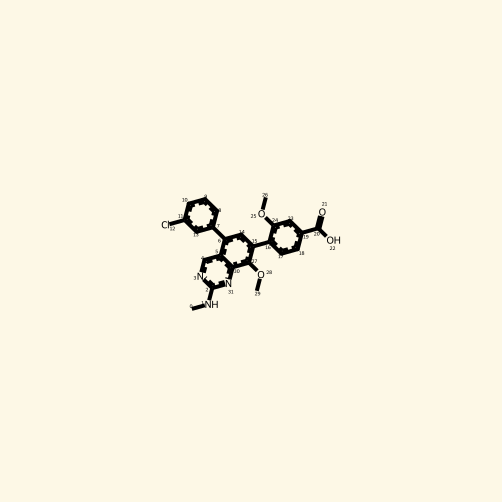 CNc1ncc2c(-c3cccc(Cl)c3)cc(-c3ccc(C(=O)O)cc3OC)c(OC)c2n1